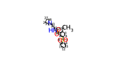 CCc1ccc(S(=O)(=O)c2ccccc2)cc1S(=O)(=O)NCCCN1CCCC1